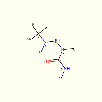 CNC(=O)N(C)BN(C)C(C)(C)C